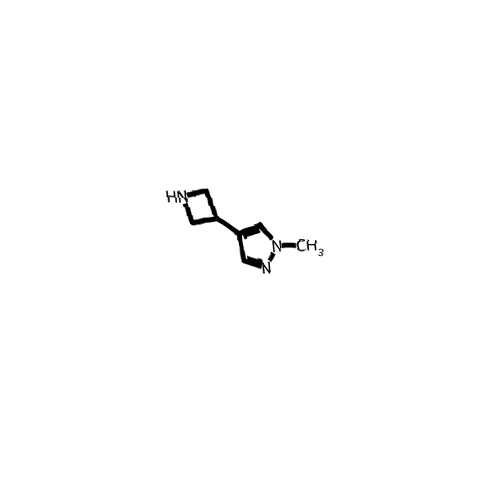 Cn1cc(C2CNC2)cn1